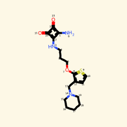 Nc1c(NCCCOc2sccc2CN2CCCCC2)c(=O)c1=O